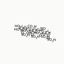 CC1[C@@H](O[C@H]2C(O)C(OS(=O)(=O)O)[C@H](O[C@@H]3C(COS(=O)(=O)O)O[C@H](C)C(C)[C@H]3C)O[C@H]2N=O)OC(COS(=O)(=O)O)[C@@H](O[C@@H]2OC(C(=O)O)[C@@H](O[C@H]3OC(COS(=O)(=O)O)[C@@H](O)[C@H](O)C3C)[C@H](O)C2O)[C@@H]1C